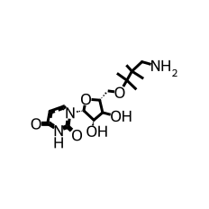 CC(C)(CN)C(C)(C)OC[C@H]1O[C@@H](n2ccc(=O)[nH]c2=O)[C@@H](O)C1O